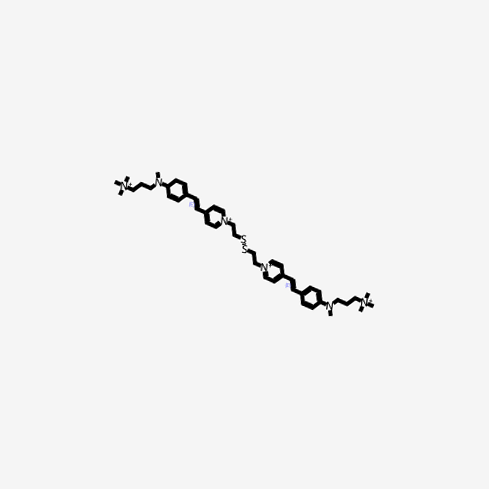 CN(CCC[N+](C)(C)C)c1ccc(/C=C/c2cc[n+](CCSSCC[n+]3ccc(/C=C/C4=CCC(N(C)CCC[N+](C)(C)C)C=C4)cc3)cc2)cc1